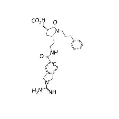 N=C(N)N1Cc2ccc(C(=O)NCC[C@@H]3C[C@@H](CC(=O)O)C(=O)N3CCCc3ccccc3)cc2C1